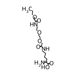 CCCOCC(=O)NCCOCCOCC(=O)NCCCC[C@H](N)C(=O)O